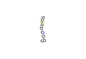 c1ccc2cc3c(cc2c1)sc1c2cc4ccc(-c5ccc(-c6ccc(-c7cccc8ccccc78)cc6)nc5)cc4cc2sc31